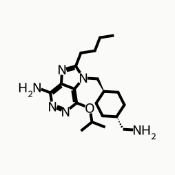 CCCCc1nc2c(N)nnc(OC(C)C)c2n1C[C@H]1CC[C@H](CN)CC1